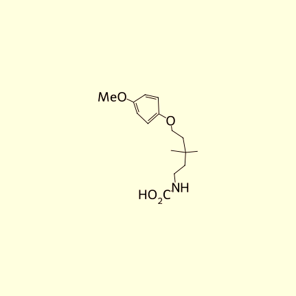 COc1ccc(OCCC(C)(C)CCNC(=O)O)cc1